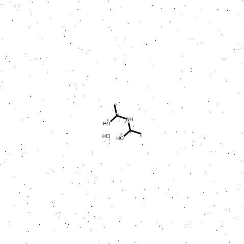 CC(O)NC(C)O.Cl